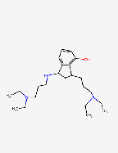 CCN(CC)CCCNC1CC(CCCN(CC)CC)c2c(O)cccc21